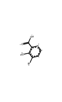 O=C(O)c1nccc(Br)c1O